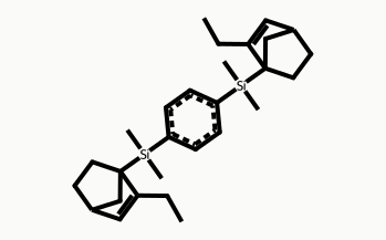 CCC1=CC2CCC1([Si](C)(C)c1ccc([Si](C)(C)C34CCC(C=C3CC)C4)cc1)C2